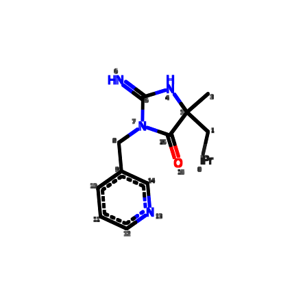 CC(C)CC1(C)NC(=N)N(Cc2cccnc2)C1=O